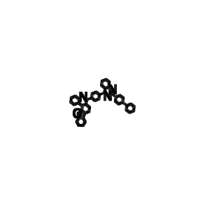 c1ccc(-c2ccc(-c3nc(-c4ccc(-c5nc6ccccc6c6c5ccc5c7ccccc7oc56)cc4)c4ccccc4n3)cc2)cc1